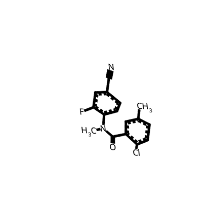 Cc1ccc(Cl)c(C(=O)N(C)c2ccc(C#N)cc2F)c1